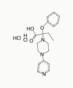 CCC(Oc1ccccc1)(C(=O)O)N1CCN(c2ccncc2)CC1.Cl.Cl